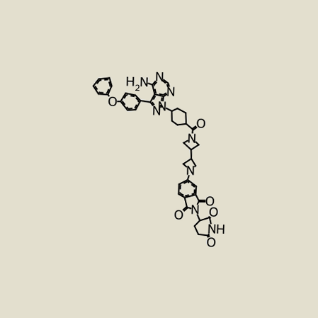 Nc1ncnc2c1c(-c1ccc(Oc3ccccc3)cc1)nn2C1CCC(C(=O)N2CC(C3CN(c4ccc5c(c4)C(=O)N(C4CCC(=O)NC4=O)C5=O)C3)C2)CC1